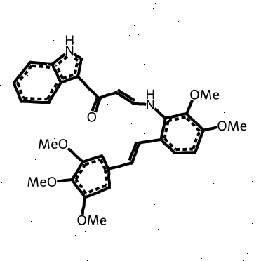 COc1cc(C=Cc2ccc(OC)c(OC)c2NC=CC(=O)c2c[nH]c3ccccc23)cc(OC)c1OC